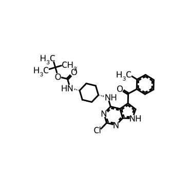 Cc1ccccc1C(=O)c1c[nH]c2nc(Cl)nc(N[C@H]3CC[C@@H](NC(=O)OC(C)(C)C)CC3)c12